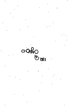 CCOC[C@@H]1CCCN(C[C@H]2CCCC[C@@H]2NC(=O)c2ccc(Cl)cc2)C1